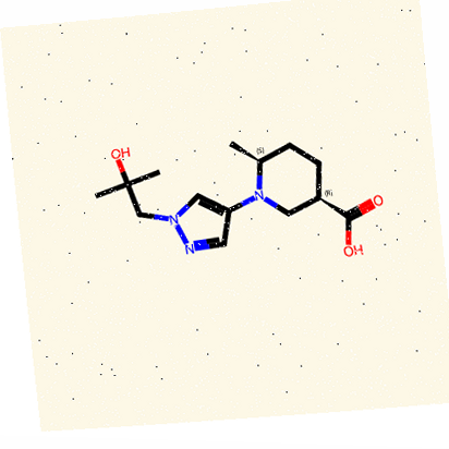 C[C@H]1CC[C@@H](C(=O)O)CN1c1cnn(CC(C)(C)O)c1